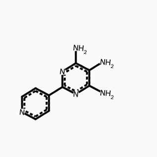 Nc1nc(-c2ccncc2)nc(N)c1N